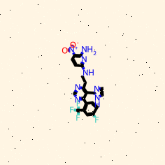 Nc1nc(NCCc2n[c]nc(-c3ccc(F)cc3C(F)(F)F)c2-c2ncc[nH]2)ccc1[N+](=O)[O-]